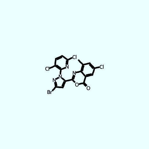 Cc1cc(Cl)cc2c(=O)oc(-c3cc(Br)nn3-c3nc(Cl)ccc3Cl)nc12